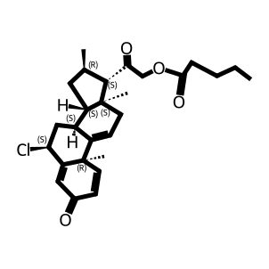 CCCCC(=O)OCC(=O)[C@H]1[C@H](C)C[C@H]2[C@@H]3C[C@H](Cl)C4=CC(=O)C=C[C@]4(C)C3=CC[C@@]21C